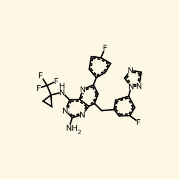 Nc1nc(NC2(C(F)(F)F)CC2)c2nc(-c3ccc(F)cc3)cc(Cc3cc(F)cc(-n4cncn4)c3)c2n1